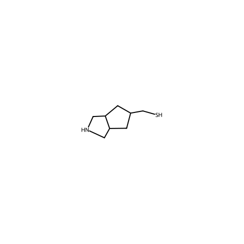 SCC1CC2CNCC2C1